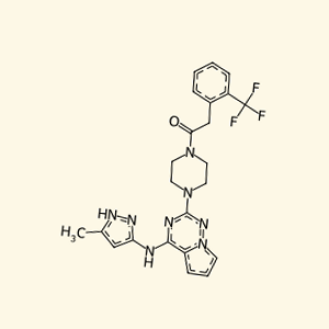 Cc1cc(Nc2nc(N3CCN(C(=O)Cc4ccccc4C(F)(F)F)CC3)nn3cccc23)n[nH]1